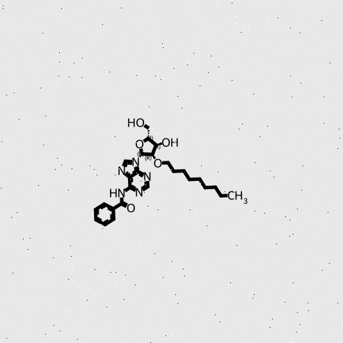 CCCCCCCCCO[C@@H]1[C@H](O)[C@@H](CO)O[C@H]1n1cnc2c(NC(=O)c3ccccc3)ncnc21